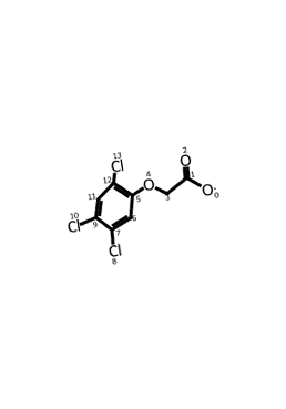 [O]C(=O)COc1cc(Cl)c(Cl)cc1Cl